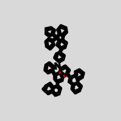 c1ccc(C2(c3ccccc3)c3ccccc3-c3ccc(-c4ccc(N(c5ccc(-c6cc7ccccc7c7ccccc67)cc5)c5ccccc5-c5cccc(-c6cccc7ccccc67)c5)cc4)cc32)cc1